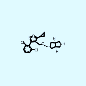 Clc1cccc(Cl)c1-c1noc(C2CC2)c1COC[C@@H]1C[C@H]2CNC[C@H]2C1